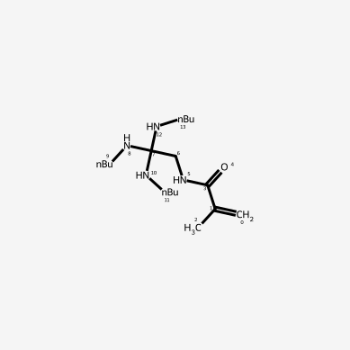 C=C(C)C(=O)NCC(NCCCC)(NCCCC)NCCCC